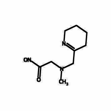 CN(CC(=O)N=O)CC1=NCCCC1